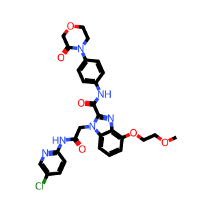 COCCOc1cccc2c1nc(C(=O)Nc1ccc(N3CCOCC3=O)cc1)n2CC(=O)Nc1ccc(Cl)cn1